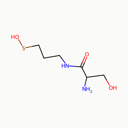 NC(CO)C(=O)NCCCSO